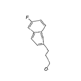 [O]CCCc1ccc2cc(F)ccc2c1